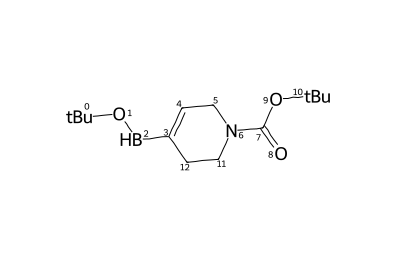 CC(C)(C)OBC1=CCN(C(=O)OC(C)(C)C)CC1